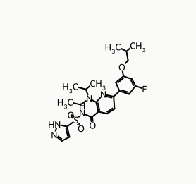 CCN(c1nc(-c2cc(F)cc(OCC(C)C)c2)ccc1C(=O)NS(=O)(=O)c1ccn[nH]1)C(C)C